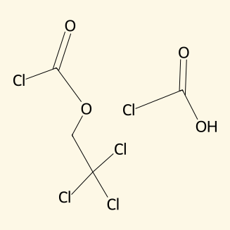 O=C(Cl)OCC(Cl)(Cl)Cl.O=C(O)Cl